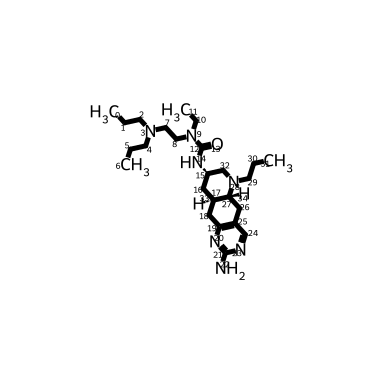 CCCN(CCC)CCN(CC)C(=O)N[C@H]1C[C@@H]2Cc3nc(N)ncc3C[C@H]2N(CCC)C1